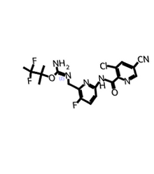 CC(F)(F)C(C)(C)O/C(N)=N\Cc1nc(NC(=O)c2ncc(C#N)cc2Cl)ccc1F